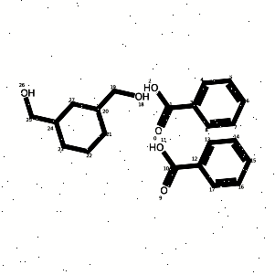 O=C(O)c1ccccc1.O=C(O)c1ccccc1.OCC1CCCC(CO)C1